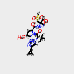 CC(C)(C)[C@@H](C(=O)N1C[C@H](O)C[C@H]1C(=O)NC1(CS(C)(=O)=O)COC1)n1cc(C2CC2)nn1